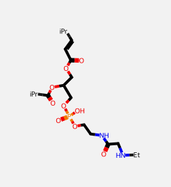 CCNCC(=O)NCCOP(=O)(O)OCC(COC(=O)/C=C/C(C)C)OC(=O)C(C)C